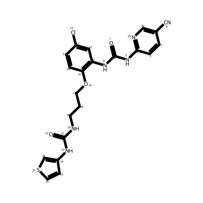 N#Cc1ccc(NC(=O)Nc2cc(Cl)ccc2OCCCNC(=O)Nc2ccsc2)nc1